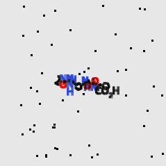 CC(NC(=O)c1nnc(-c2cccc(-c3ncc(C(=O)NC(CC4CCCCC4)C(=O)O)o3)c2)[nH]1)C1CC1